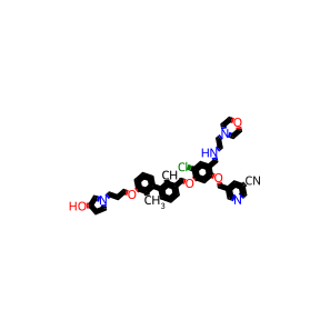 Cc1c(COc2cc(OCc3cncc(C#N)c3)c(CNCCN3CCOCC3)cc2Cl)cccc1-c1cccc(OCCCN2CCC(O)C2)c1C